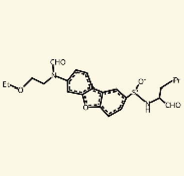 CCOCCN(C=O)c1ccc2c(c1)oc1ccc([S+]([O-])NC(C=O)CC(C)C)cc12